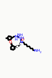 Cc1ccc2c(c1)OCc1ccccc1CCCN(CCCCCCCCN)C(=O)NC(=N)NC2